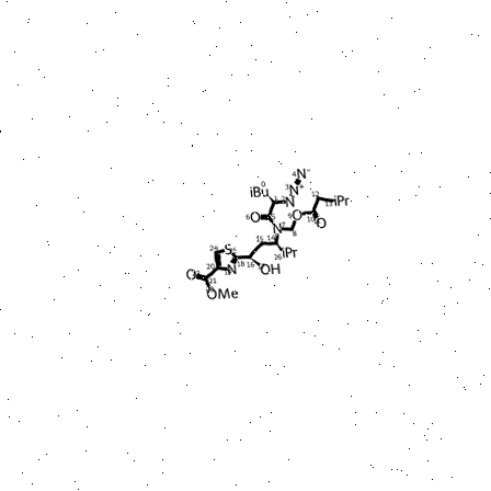 CC[C@H](C)C(N=[N+]=[N-])C(=O)N(COC(=O)CC(C)C)[C@H](C[C@@H](O)c1nc(C(=O)OC)cs1)C(C)C